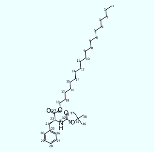 CCCCCCCCCCCCCCCCCCCCOC(=O)[C@H](Cc1ccccc1)NC(=O)OC(C)(C)C